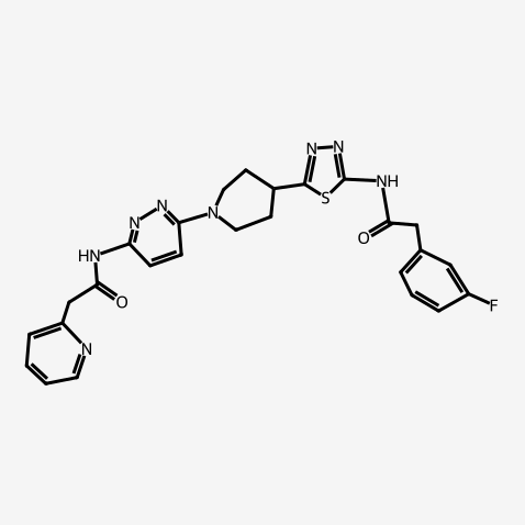 O=C(Cc1ccccn1)Nc1ccc(N2CCC(c3nnc(NC(=O)Cc4cccc(F)c4)s3)CC2)nn1